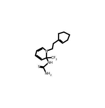 NC(=S)NC1(C(F)(F)F)C=CC=CN1CCC1=CCCCC1